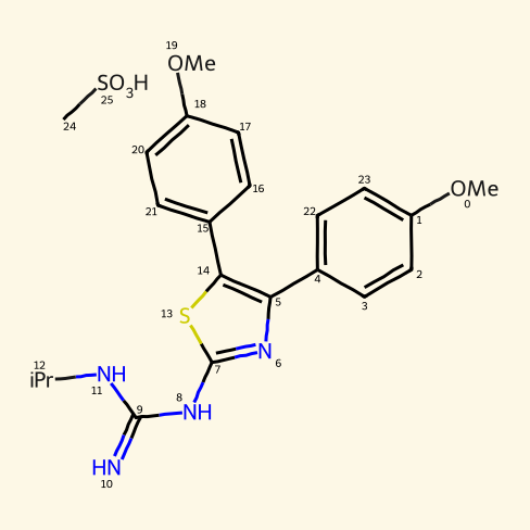 COc1ccc(-c2nc(NC(=N)NC(C)C)sc2-c2ccc(OC)cc2)cc1.CS(=O)(=O)O